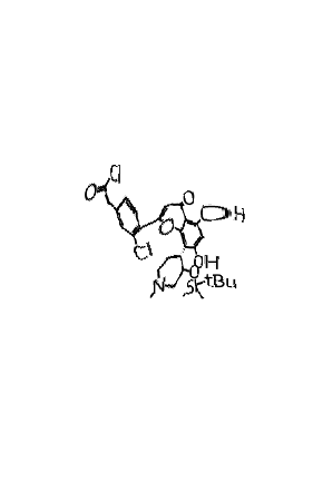 CN1CC[C@H](c2c(O)cc(O)c3c(=O)cc(-c4ccc(CC(=O)Cl)cc4Cl)oc23)C(O[Si](C)(C)C(C)(C)C)C1